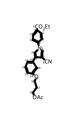 CCOC(=O)c1ccc(-n2cc(C#N)c(-c3cccc(OCCCOC(C)=O)c3)c2)cc1